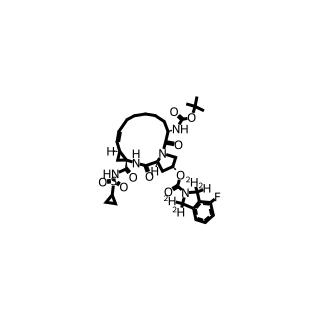 [2H]C1([2H])c2cccc(F)c2C([2H])([2H])N1C(=O)O[C@@H]1C[C@H]2C(=O)N[C@]3(C(=O)NS(=O)(=O)C4CC4)C[C@H]3/C=C\CCCCC[C@H](NC(=O)OC(C)(C)C)C(=O)N2C1